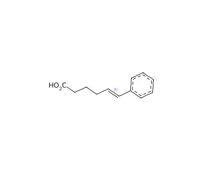 O=C(O)CCC/C=C/c1ccccc1